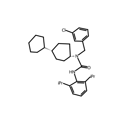 CC(C)c1cccc(C(C)C)c1NC(=O)N(Cc1cccc(Cl)c1)[C@H]1CC[C@@H](C2CCCCC2)CC1